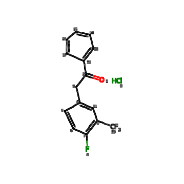 Cl.O=C(Cc1ccc(F)c(C(F)(F)F)c1)c1ccccc1